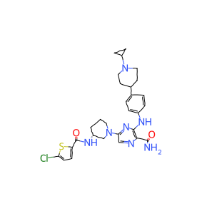 NC(=O)c1ncc(N2CCC[C@@H](NC(=O)c3ccc(Cl)s3)C2)nc1Nc1ccc(C2CCN(C3CC3)CC2)cc1